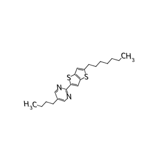 CCCCCCCc1cc2sc(-c3ncc(CCCC)cn3)cc2s1